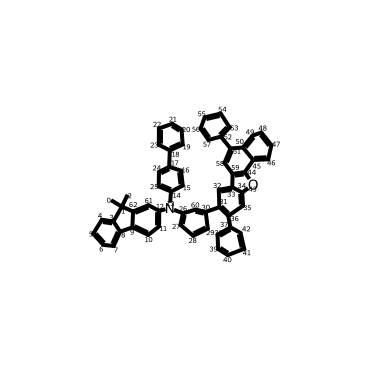 CC1(C)c2ccccc2-c2ccc(N(c3ccc(-c4ccccc4)cc3)c3cccc(-c4cc5c(cc4-c4ccccc4)oc4c6ccccc6c(-c6ccccc6)cc54)c3)cc21